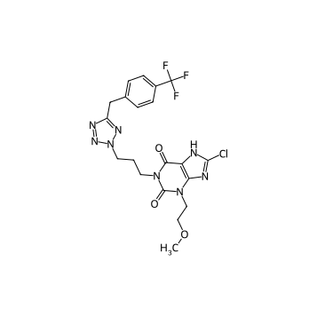 COCCn1c(=O)n(CCCn2nnc(Cc3ccc(C(F)(F)F)cc3)n2)c(=O)c2[nH]c(Cl)nc21